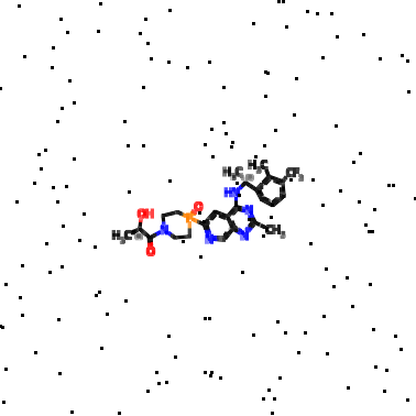 Cc1nc(N[C@H](C)c2cccc(C(F)(F)F)c2C)c2cc(P3(=O)CCN(C(=O)[C@@H](C)O)CC3)ncc2n1